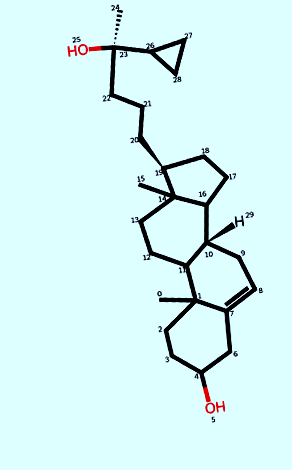 CC12CCC(O)CC1=CC[C@@H]1C2CCC2(C)C1CC[C@@H]2CCC[C@@](C)(O)C1CC1